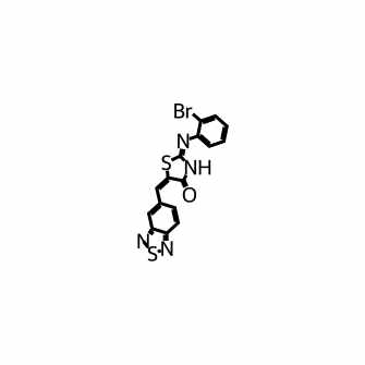 O=C1NC(=Nc2ccccc2Br)SC1=Cc1ccc2nsnc2c1